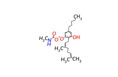 CCCCCc1cc(O)c(CC=C(C)CCC=C(C)C)c(OCOC(=O)NC)c1